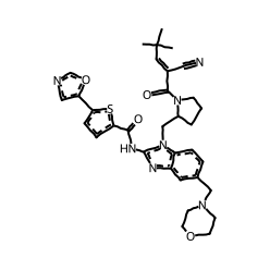 CC(C)(C)C=C(C#N)C(=O)N1CCCC1Cn1c(NC(=O)c2ccc(-c3cnco3)s2)nc2cc(CN3CCOCC3)ccc21